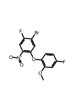 COc1cc(F)ccc1Oc1cc(Br)c(F)cc1[N+](=O)[O-]